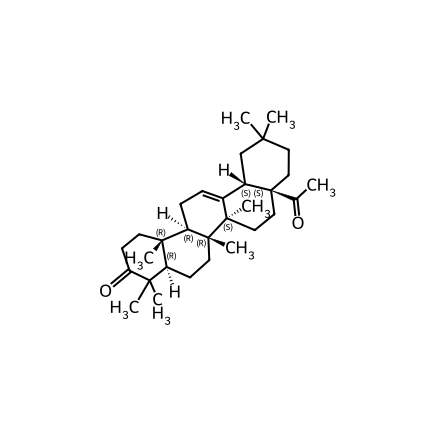 CC(=O)[C@]12CCC(C)(C)C[C@H]1C1=CC[C@@H]3[C@@]4(C)CCC(=O)C(C)(C)[C@@H]4CC[C@@]3(C)[C@]1(C)CC2